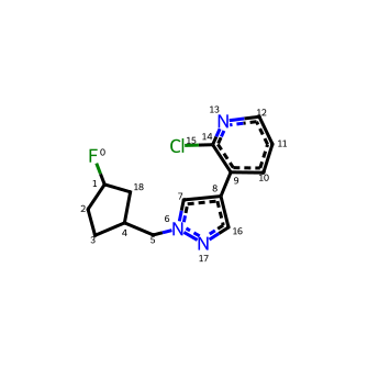 FC1CCC(Cn2cc(-c3cccnc3Cl)cn2)C1